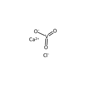 [Ca+2].[Cl-].[O]=[V](=[O])[O-]